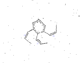 C/C=C\c1c[c]cc(/C=C\C)c1/C=C\C